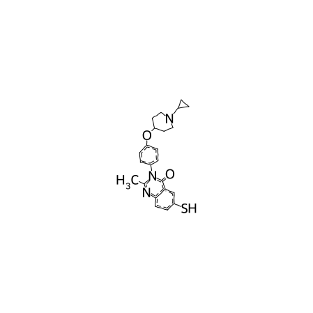 Cc1nc2ccc(S)cc2c(=O)n1-c1ccc(OC2CCN(C3CC3)CC2)cc1